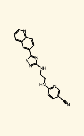 N#Cc1ccc(NCCNc2nsc(-c3ccc4ncccc4c3)n2)nc1